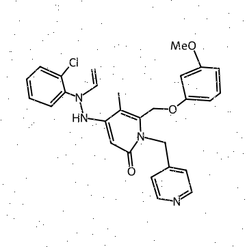 C=CN(Nc1cc(=O)n(Cc2ccncc2)c(COc2cccc(OC)c2)c1C)c1ccccc1Cl